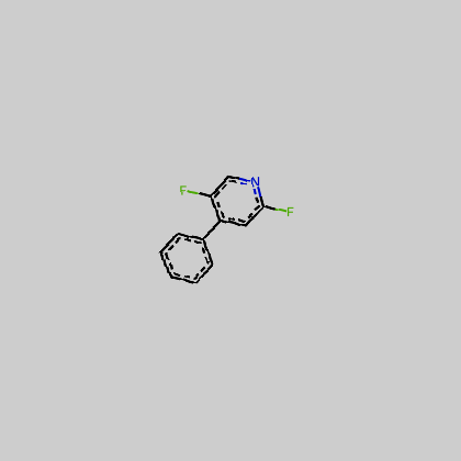 Fc1cc(-c2ccccc2)c(F)cn1